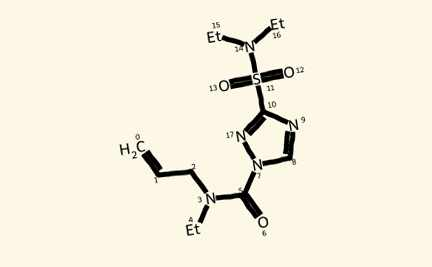 C=CCN(CC)C(=O)n1cnc(S(=O)(=O)N(CC)CC)n1